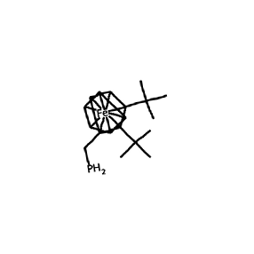 CC(C)(C)[C]12[CH]3[CH]4[C]5(CP)[C]1(C(C)(C)C)[Fe]43521678[CH]2[CH]1[CH]6[CH]7[CH]28